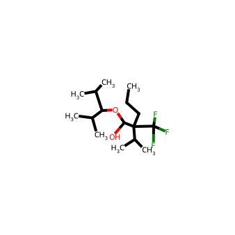 CCCC(C(C)C)(C(O)OC(C(C)C)C(C)C)C(F)(F)F